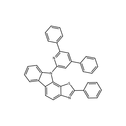 c1ccc(-c2cc(-c3ccccc3)nc(-n3c4ccccc4c4ccc5nc(-c6ccccc6)sc5c43)c2)cc1